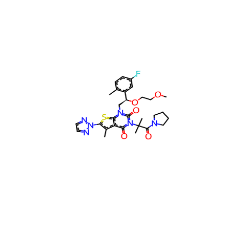 COCCO[C@@H](Cn1c(=O)n(C(C)(C)C(=O)N2CCCC2)c(=O)c2c(C)c(-n3nccn3)sc21)c1cc(F)ccc1C